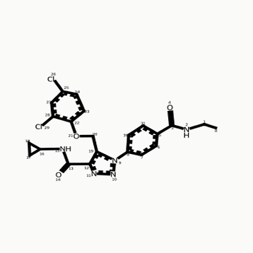 CCNC(=O)c1ccc(-n2nnc(C(=O)NC3CC3)c2COc2ccc(Cl)cc2Cl)cc1